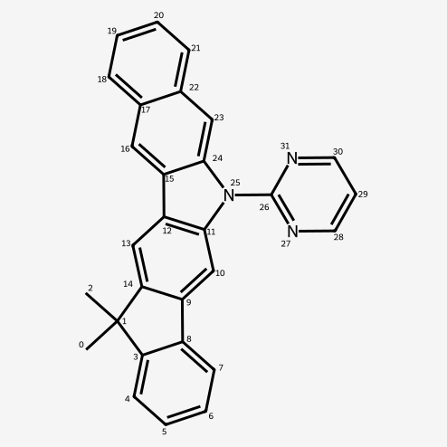 CC1(C)c2ccccc2-c2cc3c(cc21)c1cc2ccccc2cc1n3-c1ncccn1